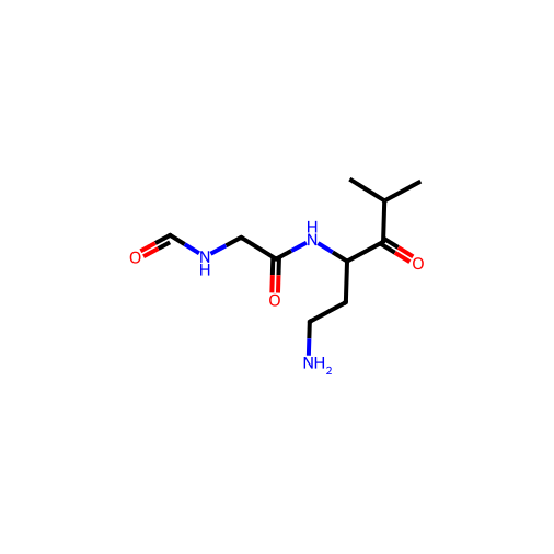 CC(C)C(=O)C(CCN)NC(=O)CNC=O